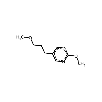 COCCCc1cnc(OC)nc1